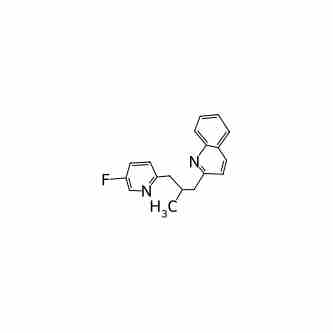 CC(Cc1ccc(F)cn1)Cc1ccc2ccccc2n1